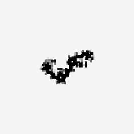 COC(C)(C)CCCC1CCC(CCCC2CCC(CCCC(C)(C)CO)C2O)C1O